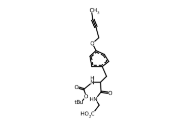 CC#CCOc1ccc(CC(NC(=O)OC(C)(C)C)C(=O)NCC(=O)O)cc1